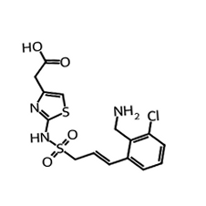 NCc1c(Cl)cccc1C=CCS(=O)(=O)Nc1nc(CC(=O)O)cs1